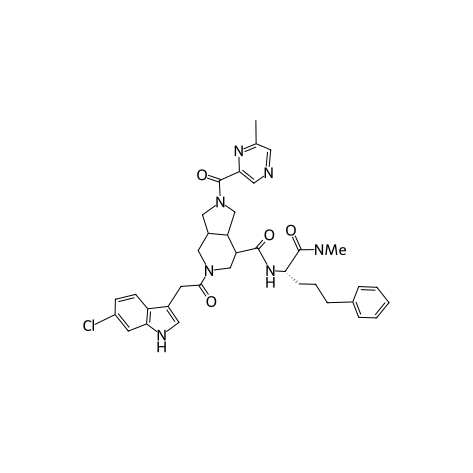 CNC(=O)[C@H](CCCc1ccccc1)NC(=O)C1CN(C(=O)Cc2c[nH]c3cc(Cl)ccc23)CC2CN(C(=O)c3cncc(C)n3)CC21